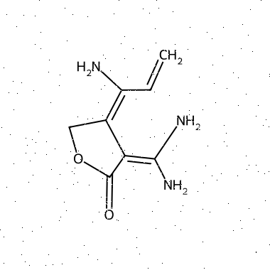 C=C/C(N)=C1/COC(=O)C1=C(N)N